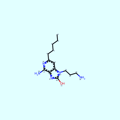 CCCCCc1cc2c(nc(O)n2CCCN)c(N)n1